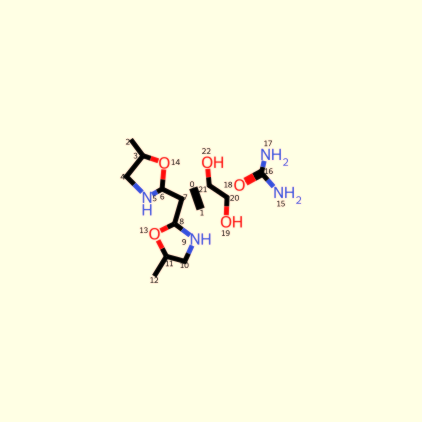 C=C.CC1CNC(CC2NCC(C)O2)O1.NC(N)=O.OCCO